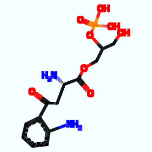 Nc1ccccc1C(=O)C[C@H](N)C(=O)OCC(CO)OP(=O)(O)O